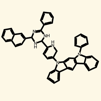 C1=C(C2NC(c3ccccc3)=NC(c3ccc4ccccc4c3)N2)NCC(n2c3ccccc3c3cc4c5ccccc5n(-c5ccccc5)c4cc32)=C1